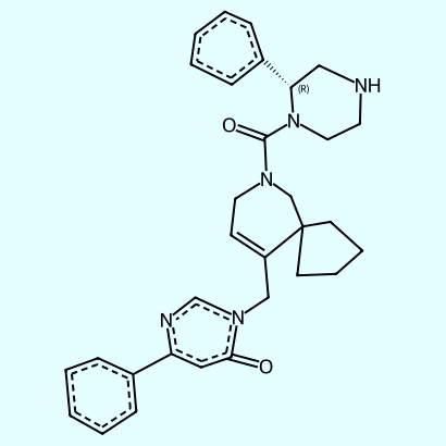 O=C(N1CC=C(Cn2cnc(-c3ccccc3)cc2=O)C2(CCCC2)C1)N1CCNC[C@H]1c1ccccc1